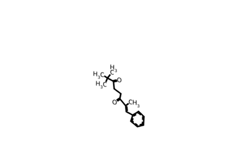 C/C(=C\c1ccccc1)C(=O)CCC(=O)C(C)(C)C